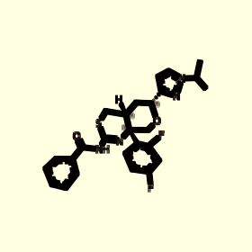 CC(C)n1ccc([C@H]2C[C@H]3CSC(NC(=O)c4ccccc4)=N[C@@]3(c3ccc(F)cc3F)CO2)n1